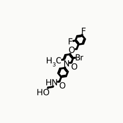 Cc1cc(OCc2ccc(F)cc2F)c(Br)c(=O)n1-c1ccc(C(=O)NCCO)cc1